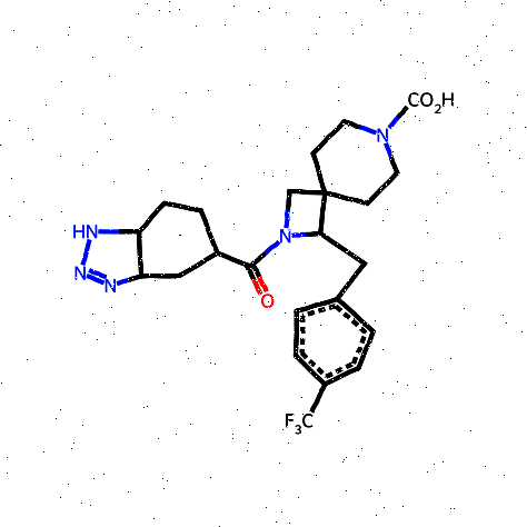 O=C(O)N1CCC2(CC1)CN(C(=O)C1CCC3NN=NC3C1)C2Cc1ccc(C(F)(F)F)cc1